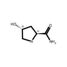 NC(=O)[C@@H]1C[C@@H](O)C[N]1